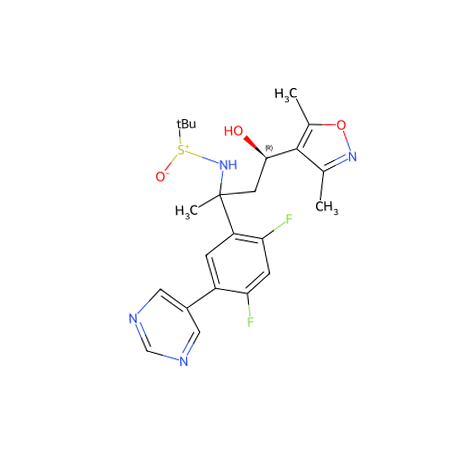 Cc1noc(C)c1[C@H](O)CC(C)(N[S+]([O-])C(C)(C)C)c1cc(-c2cncnc2)c(F)cc1F